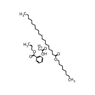 C=CCOC(=O)c1ccccc1.CC(=O)O.CCCCCCCCCCCCCCCCCC(=O)OCCCCCCCC